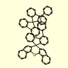 c1ccc(N(c2ccc(-c3cccc4c3-c3ccccc3C43c4ccc5ccccc5c4Oc4c3ccc3ccccc43)cc2)c2ccccc2C2(c3ccccc3)c3ccccc3-c3ccccc32)cc1